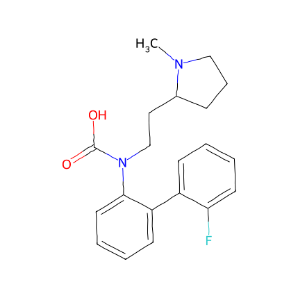 CN1CCCC1CCN(C(=O)O)c1ccccc1-c1ccccc1F